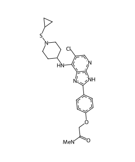 CNC(=O)COc1ccc(-c2nc3c(NC4CCN(SC5CC5)CC4)c(Cl)cnc3[nH]2)cc1